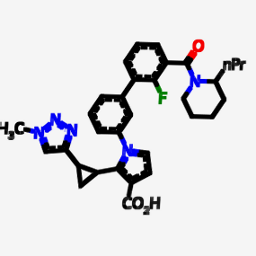 CCCC1CCCCN1C(=O)c1cccc(-c2cccc(-n3ccc(C(=O)O)c3C3CC3c3cn(C)nn3)c2)c1F